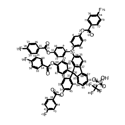 O=C(Oc1ccc([S+](c2ccc(OC(=O)c3ccc(F)cc3)cc2)c2ccc3c(c2)C(c2ccc(OC(=O)c4ccc(F)cc4)cc2)(c2ccc(OC(=O)c4ccc(F)cc4)cc2)c2ccccc2-3)cc1)c1ccc(F)cc1.O=S(=O)(O)C(F)(F)F